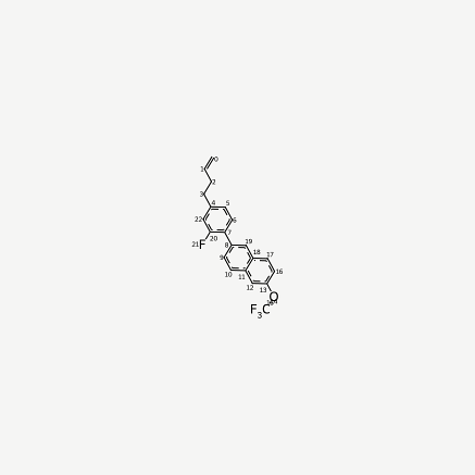 C=CCCc1ccc(-c2ccc3cc(OC(F)(F)F)ccc3c2)c(F)c1